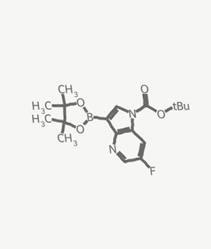 CC(C)(C)OC(=O)n1cc(B2OC(C)(C)C(C)(C)O2)c2ncc(F)cc21